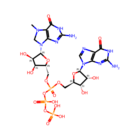 CN1CN([C@@H]2O[C@H](COP(=O)(OC[C@H]3O[C@@H](n4cnc5c(=O)[nH]c(N)nc54)[C@H](O)[C@@H]3O)OP(=O)(O)OP(=O)(O)O)[C@@H](O)[C@H]2O)c2nc(N)[nH]c(=O)c21